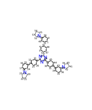 c1cc(-c2ccc(-c3nc(-c4ccc(-c5cccc(N6CCCC6)c5)cc4)nc(-c4ccc(-c5cccc(N6CCCC6)c5)cc4)n3)cc2)cc(N2CCCC2)c1